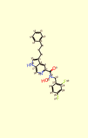 O=C(c1cc2c(CCCc3ccccc3)c[nH]c2cn1)N(O)Cc1ccc(F)cc1F